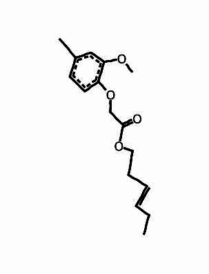 CC/C=C/CCOC(=O)COc1ccc(C)cc1OC